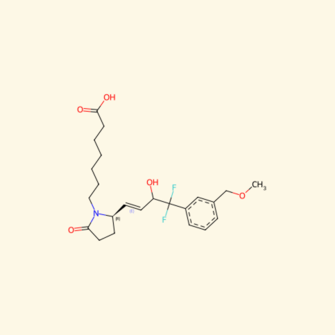 COCc1cccc(C(F)(F)C(O)/C=C/[C@H]2CCC(=O)N2CCCCCCC(=O)O)c1